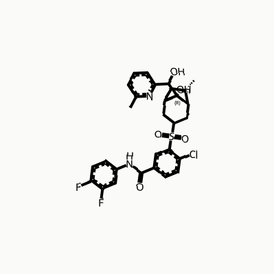 Cc1cccc(C(O)[C@@]2(O)C3CC(S(=O)(=O)c4cc(C(=O)Nc5ccc(F)c(F)c5)ccc4Cl)CC2[C@@H](C)C3)n1